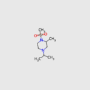 CC(C)N1CCN(S(C)(=O)=O)C(C)C1